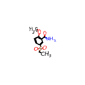 CCS(=O)(=O)c1ccc(OC)c(C(N)=O)c1